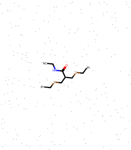 CC(C)CSCC(CSCC(C)C)C(=O)NCC#N